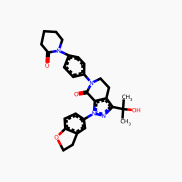 CC(C)(O)c1nn(-c2ccc3c(c2)CCO3)c2c1CCN(c1ccc(N3CCCCC3=O)cc1)C2=O